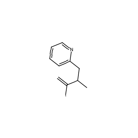 C=C(C)C(C)Cc1ccccn1